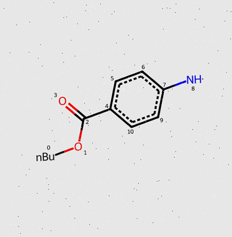 CCCCOC(=O)c1ccc([NH])cc1